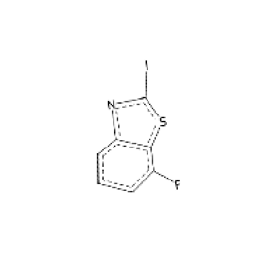 Fc1cccc2nc(I)sc12